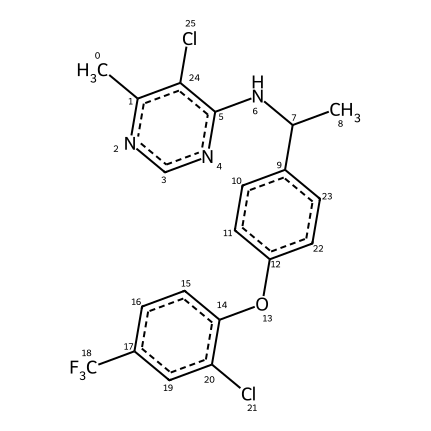 Cc1ncnc(NC(C)c2ccc(Oc3ccc(C(F)(F)F)cc3Cl)cc2)c1Cl